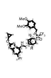 COc1ccc(CN=S(=O)(N2C[C@@H]3C[C@H]2C[C@H]3CNc2cc(C(C)C)nc3nc(OC4CC4)nn23)C(F)(F)F)cc1OC